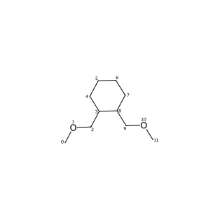 COCC1CCCCC1COC